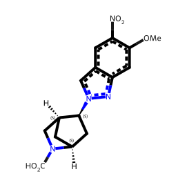 COc1cc2nn([C@H]3C[C@@H]4C[C@H]3CN4C(=O)O)cc2cc1[N+](=O)[O-]